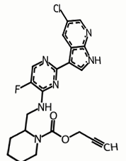 C#CCOC(=O)N1CCCCC1CNc1nc(-c2c[nH]c3ncc(Cl)cc23)ncc1F